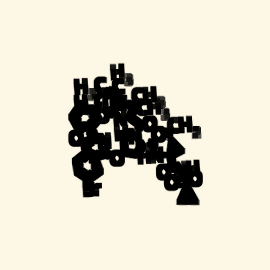 C=C[C@@H]1C[C@]1(NC(=O)[C@@H]1C[C@@H](Oc2nc3c4ccccc4oc3c3ccc(Br)cc23)CN1C(=O)[C@@H](NC(=O)OC(C)(C)C)C(C)(C)C)C(=O)NS(=O)(=O)C1CC1